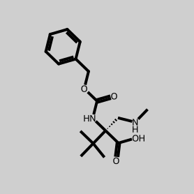 CNC[C@](NC(=O)OCc1ccccc1)(C(=O)O)C(C)(C)C